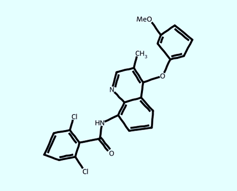 COc1cccc(Oc2c(C)cnc3c(NC(=O)c4c(Cl)cccc4Cl)cccc23)c1